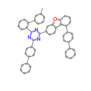 Cc1cccc(-c2ccccc2-c2nc(-c3ccc(-c4ccccc4)cc3)nc(-c3ccc4c(c3)oc3cccc(-c5ccc(-c6ccccc6)cc5)c34)n2)c1